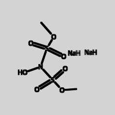 COS(=O)(=O)N(O)S(=O)(=O)OC.[NaH].[NaH]